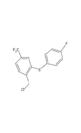 Fc1ccc(Sc2cc(C(F)(F)F)ccc2CCl)cc1